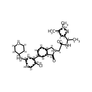 Cc1cc(C(C)NC(=O)CN2Cc3ccc(-c4nc(NC5CCOCC5)ncc4Cl)cc3C2=O)nn1C